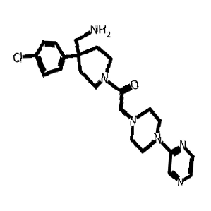 NCC1(c2ccc(Cl)cc2)CCN(C(=O)CN2CCN(c3cnccn3)CC2)CC1